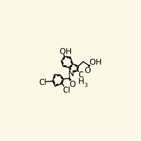 Cc1c(CC(=O)O)c2cc(O)ccc2n1C(=O)c1ccc(Cl)cc1Cl